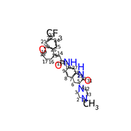 CN1CCN(C2Cc3ccc(NC(=O)/C=C4\CCCOc5cc(C(F)(F)F)ccc54)cc3NC2=O)CC1